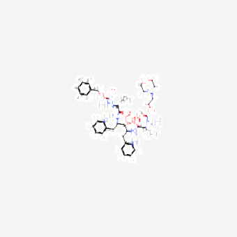 CC(C)[C@H](NC(=O)OCCN1CCOCC1)C(=O)NC(Cc1ccccc1)C(O)C(Cc1ccccc1)NC(=O)[C@@H](NC(=O)OCc1ccccc1)C(C)C